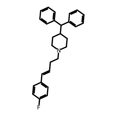 Fc1ccc(C=CCCN2CCC(C(c3ccccc3)c3ccccc3)CC2)cc1